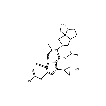 Cl.NCC12CN(c3c(F)cc4c(=O)c(OC(=O)O)cn(C5CC5)c4c3OC(F)F)CC1CCO2